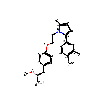 CCO[C@@H](Cc1ccc(OCCn2c(C)ccc2-c2ccc(SC)c(C)c2)cc1)C(=O)O